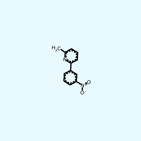 Cc1cccc(-c2cccc([N+](=O)[O-])c2)n1